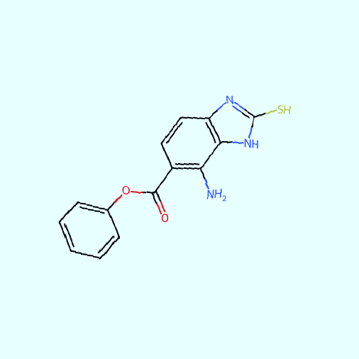 Nc1c(C(=O)Oc2ccccc2)ccc2nc(S)[nH]c12